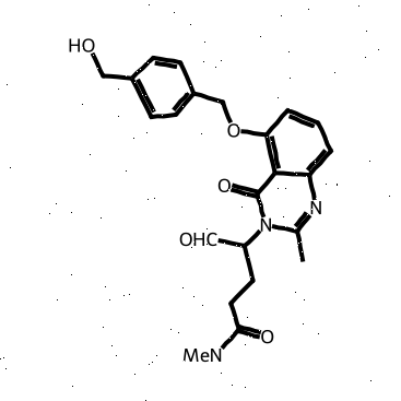 CNC(=O)CCC(C=O)n1c(C)nc2cccc(OCc3ccc(CO)cc3)c2c1=O